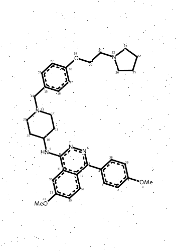 COc1ccc(-c2nnc(NC3CCN(Cc4ccc(OCCN5CCCC5)cc4)CC3)c3cc(OC)ccc23)cc1